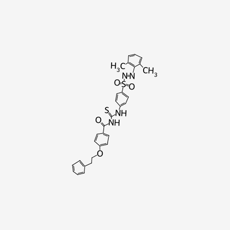 Cc1cccc(C)c1N=NS(=O)(=O)c1ccc(NC(=S)NC(=O)c2ccc(OCCc3ccccc3)cc2)cc1